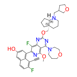 C#Cc1c(F)ccc2cc(O)cc(-c3nc(OC)c4c(N5CCCOCC5)nc(OC[C@]56CCC[C@H]5N(CC5CCOC5)CCC6)nc4c3F)c12